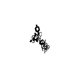 CCOC(=O)c1cn(-c2ccc(OS(=O)(=O)C(F)(F)F)nc2)nc1N(C(=O)C1CCC(C)CC1)C(C)C